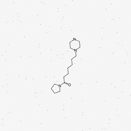 O=C(CCCCCCN1CC[N]CC1)N1CCCC1